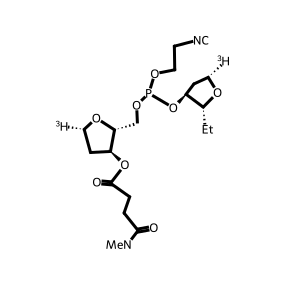 [3H][C@H]1C[C@H](OC(=O)CCC(=O)NC)[C@@H](COP(OCC[N+]#[C-])O[C@H]2C[C@H]([3H])O[C@@H]2CC)O1